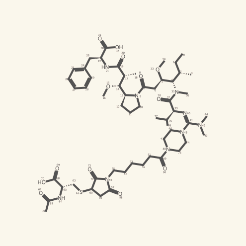 CC[C@H](C)[C@@H]([C@@H](CC(=O)N1CCC[C@H]1[C@H](OC)[C@@H](C)C(=O)N[C@@H](Cc1ccccc1)C(=O)O)OC)N(C)C(=O)[C@@H](N=C(N(C)C)N1CCN(C(=O)CCCCCN2C(=O)CC(SC[C@H](NC(C)=O)C(=O)O)C2=O)CC1)C(C)C